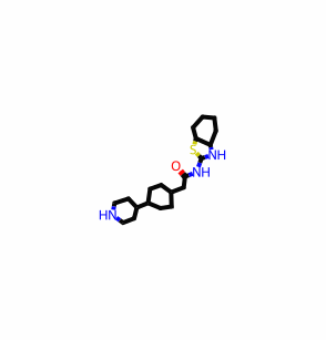 O=C(CC1CCC(C2CCNCC2)CC1)NC1NC2CCCCC2S1